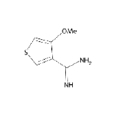 COc1cscc1C(=N)N